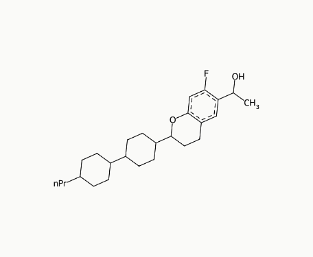 CCCC1CCC(C2CCC(C3CCc4cc(C(C)O)c(F)cc4O3)CC2)CC1